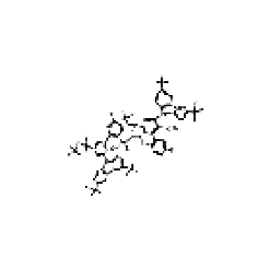 CC(CC(C)Oc1ccc(F)cc1-c1cc(C(C)(C)CC(C)(C)C)cc(-n2c3ccc(C(C)(C)C)cc3c3cc(C(C)(C)C)ccc32)c1O)Oc1ccc(F)cc1-c1cc(C(C)(C)CC(C)(C)C)cc(-n2c3ccc(C(C)(C)C)cc3c3cc(C(C)(C)C)ccc32)c1O